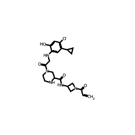 C=CC(=O)N1CC(NC(=O)C2CN(C(=O)CNc3cc(C4CC4)c(Cl)cc3O)CCN2)C1